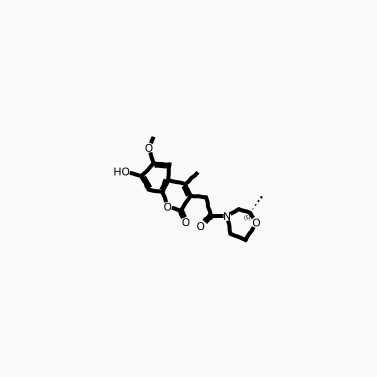 COc1cc2c(C)c(CC(=O)N3CCO[C@@H](C)C3)c(=O)oc2cc1O